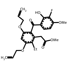 C=CCOc1cc(OCC=C)c(C(=O)c2ccc(OC)c(F)c2O)c(CC(=O)OC)c1CC